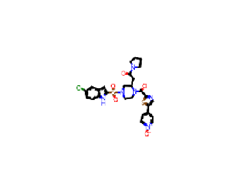 O=C(CC1CN(S(=O)(=O)c2cc3cc(Cl)ccc3[nH]2)CCN1C(=O)c1ncc(-c2cc[n+]([O-])cc2)s1)N1CCCC1